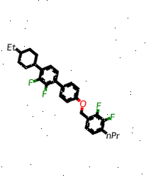 CCCc1ccc(COc2ccc(-c3ccc(C4CCC(CC)CC4)c(F)c3F)cc2)c(F)c1F